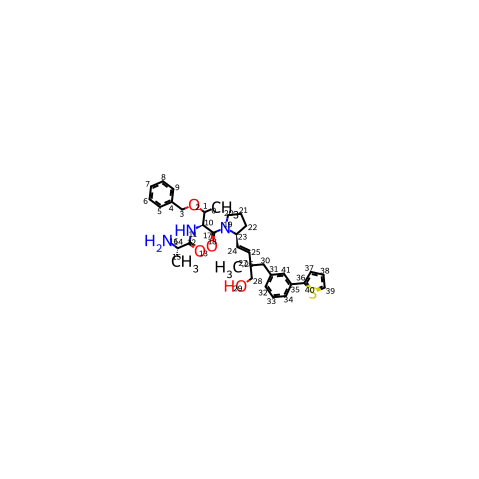 CC(OCc1ccccc1)[C@H](NC(=O)[C@H](C)N)C(=O)N1CCC[C@H]1/C=C/[C@](C)(CO)Cc1cccc(-c2cccs2)c1